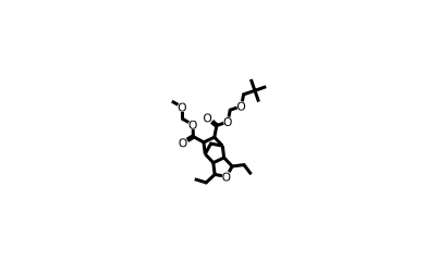 CCC1OC(CC)C2C3CC(C(C(=O)OCOC)C3C(=O)OCOCC(C)(C)C)C12